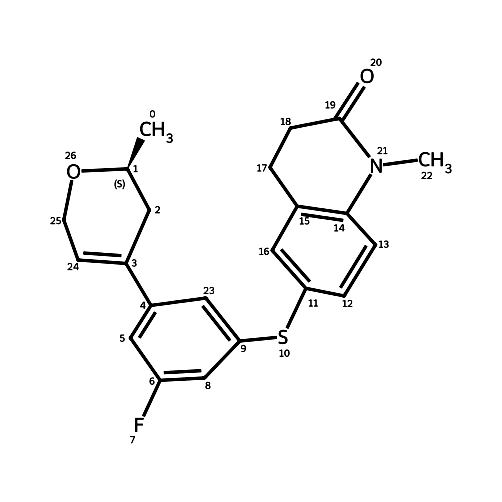 C[C@H]1CC(c2cc(F)cc(Sc3ccc4c(c3)CCC(=O)N4C)c2)=CCO1